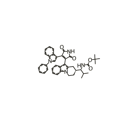 CC(C)[C@H](NC(=O)OC(C)(C)C)[C@H]1CCn2c(c(C3=C(c4cn(-c5ccccc5)c5ccccc45)C(=O)NC3=O)c3ccccc32)C1